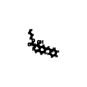 CCCCOC(=O)c1ncc2ccc(SC3CCCCC3)cc2c1O